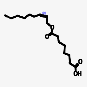 CCCCCC/C=C\COC(=O)CCCCCCC(=O)O